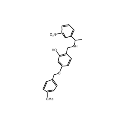 COc1ccc(COc2ccc(CNC(C)c3cccc([N+](=O)[O-])c3)c(O)c2)cc1